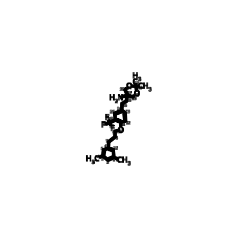 Cc1cc(C)cc(CCCOc2ccc(CCC3(N)COC(C)(C)OC3)cc2C(F)(F)F)c1